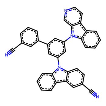 N#Cc1cccc(-c2cc(-n3c4ccccc4c4cc(C#N)ccc43)cc(-n3c4ccccc4c4ccncc43)c2)c1